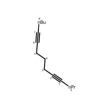 CCCC#CCC[CH]C#CCCCC